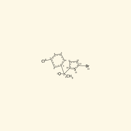 CC([O])(c1cccc(Cl)c1)c1ccc(Br)s1